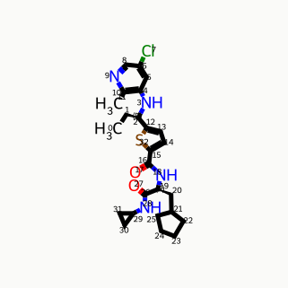 CC[C@@H](Nc1cc(Cl)cnc1C)c1ccc(C(=O)N[C@@H](CC2CCCC2)C(=O)NC2CC2)s1